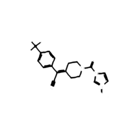 C[n+]1ccn(C(=O)N2CCC(=C(C#N)c3ccc(C(F)(F)F)cc3)CC2)c1.[I-]